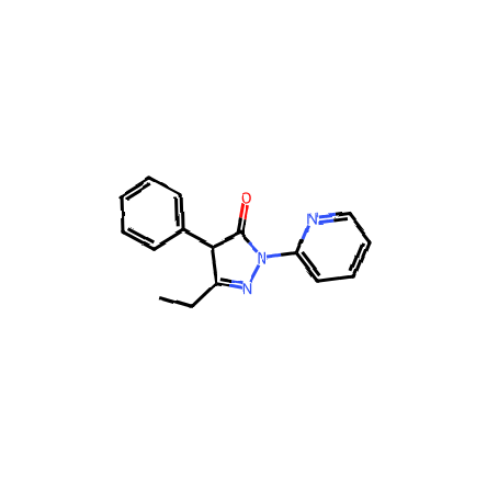 CCC1=NN(c2ccccn2)C(=O)C1c1ccccc1